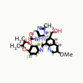 COc1cnc2c(-c3nc4cc(F)c(O[C@@H](C)[C@@H](C)OC(=O)Nc5cnc(C)nc5)cc4s3)cc(CO)cc2c1